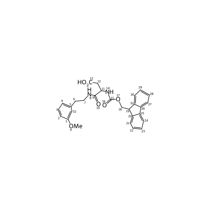 COc1cccc(CCNC(=O)C(CC(=O)O)NC(=O)OCC2c3ccccc3-c3ccccc32)c1